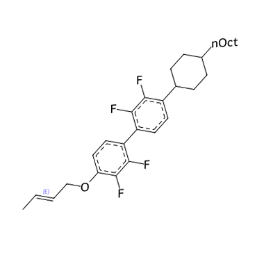 C/C=C/COc1ccc(-c2ccc(C3CCC(CCCCCCCC)CC3)c(F)c2F)c(F)c1F